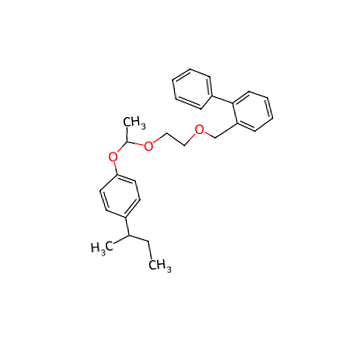 CCC(C)c1ccc(OC(C)OCCOCc2ccccc2-c2ccccc2)cc1